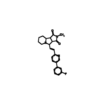 CN1C(=O)C2C(C1=O)C1CCCCN1C2C=Cc1ccc(-c2cccc(F)c2)cn1